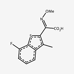 CON=C(C(=O)O)c1sc2c(F)cccc2c1C